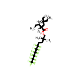 CCC(C)C(C)(CC(C)(CC)CC)C(=O)OCC(C)(C)CCC(F)(F)C(F)(F)C(F)(F)C(F)(F)C(F)(F)C(F)(F)F